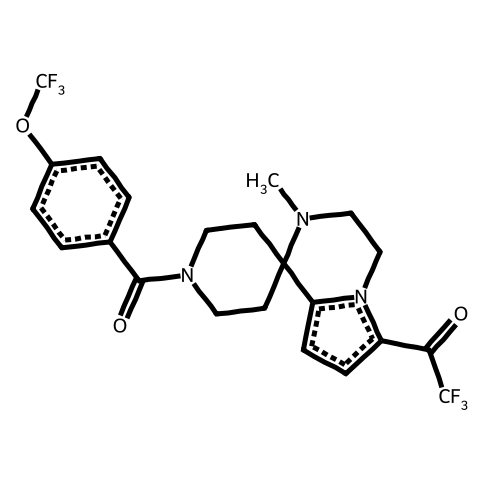 CN1CCn2c(C(=O)C(F)(F)F)ccc2C12CCN(C(=O)c1ccc(OC(F)(F)F)cc1)CC2